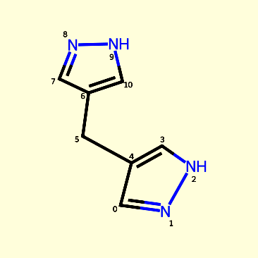 c1n[nH]cc1Cc1cn[nH]c1